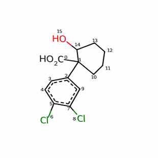 O=C(O)C1(c2ccc(Cl)c(Cl)c2)CCCCC1O